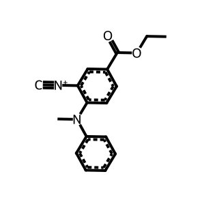 [C-]#[N+]c1cc(C(=O)OCC)ccc1N(C)c1ccccc1